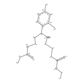 CCOC(=O)CCCNC(CCOC(=O)CC)c1ccc(C)cc1C